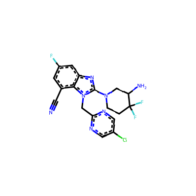 N#Cc1cc(F)cc2nc(N3CCC(F)(F)C(N)C3)n(Cc3ncc(Cl)cn3)c12